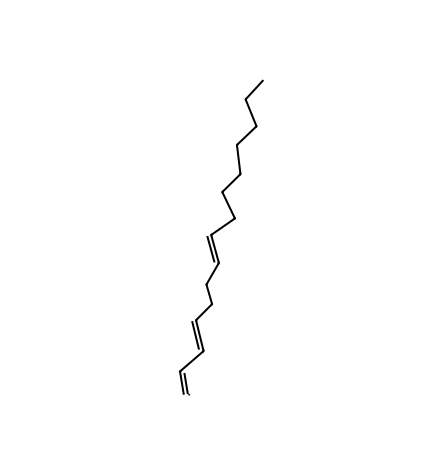 [CH]=CC=CCCC=CCCCCCCC